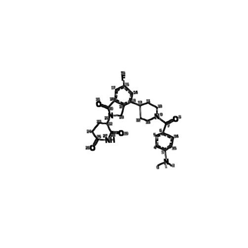 CN(C)c1ccc(C(=O)N2CCC(c3cc(F)cc4c3CN(C3CCC(=O)NC3=O)C4=O)CC2)cc1